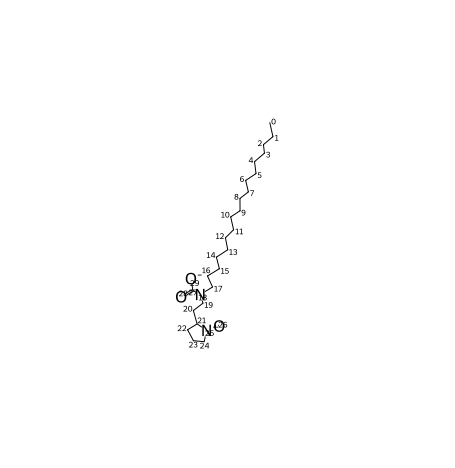 CCCCCCCCCCCCCCCCCCN(CCC1CCC[N+]1=O)C(=O)[O-]